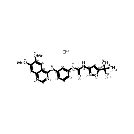 COc1cc2ncnc(Oc3cccc(NC(=O)Nc4cc(C(C)(C)C(F)(F)F)on4)c3)c2cc1OC.Cl